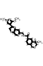 COc1nn(C)cc1-c1cnc2cnc(CNC(=O)c3ccc4c(c3)[C@](C)(F)COC4)cc2n1